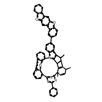 CC1C=CC2(C)C3=C1C(C)c1c(n(c4ccc(-c5ccc6oc7cc8c(cc7c6c5)oc5ccccc58)cc14)-c1cccc4c1oc1c(cccc14)-c1nc(-c4ccccc4)nc2n1)C3C